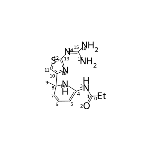 CCC(=O)NC1=CC=CC(C)(c2csc(N=C(N)N)n2)N1